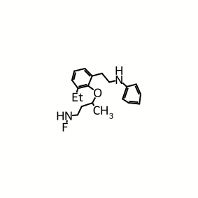 CCc1cccc(CCNc2ccccc2)c1OC(C)CCNF